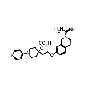 N=C(N)N1CCc2ccc(OCCC3(OC(=O)O)CCN(c4ccncc4)CC3)cc2C1